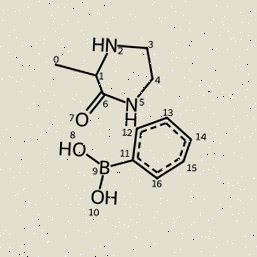 CC1NCCNC1=O.OB(O)c1ccccc1